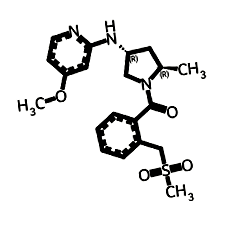 COc1ccnc(N[C@@H]2C[C@@H](C)N(C(=O)c3ccccc3CS(C)(=O)=O)C2)c1